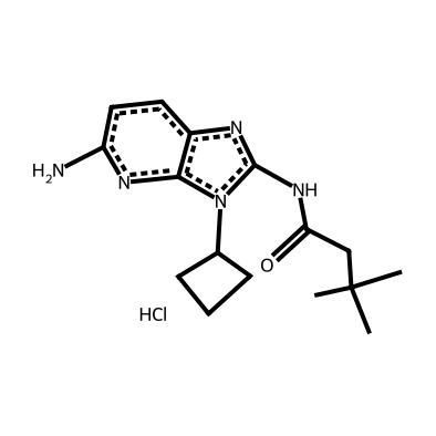 CC(C)(C)CC(=O)Nc1nc2ccc(N)nc2n1C1CCC1.Cl